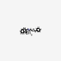 Cn1c(/C=N/CCSCc2ccccc2)nc2ccccc21